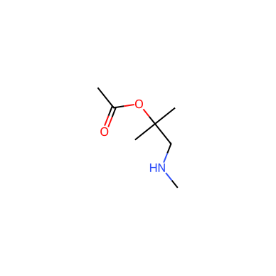 CNCC(C)(C)OC(C)=O